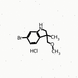 COCC1(C)CNc2cc(Br)ccc21.Cl